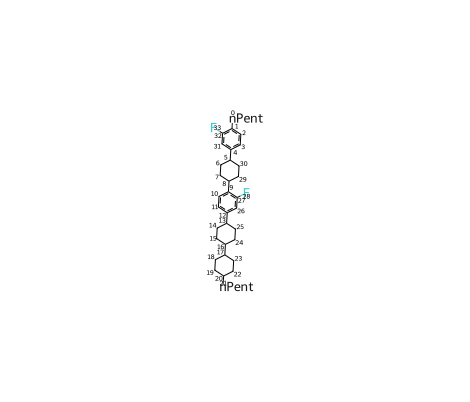 CCCCCc1ccc(C2CCC(c3ccc(C4CCC(C5CCC(CCCCC)CC5)CC4)cc3F)CC2)cc1F